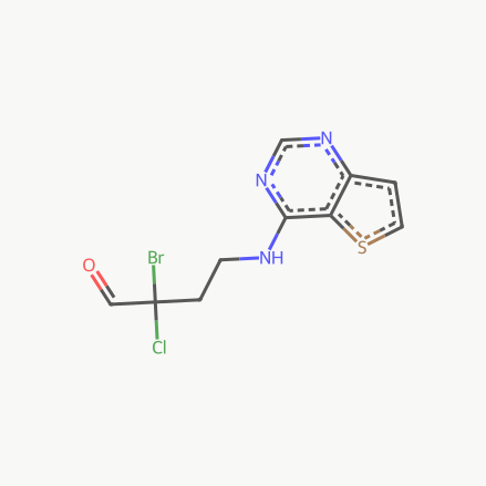 O=CC(Cl)(Br)CCNc1ncnc2ccsc12